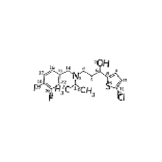 CC(C)N(CCC(O)c1ccc(Cl)s1)Cc1ccc(F)c(F)c1